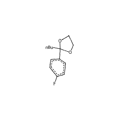 CCCCC1(c2ccc(F)cc2)OCCO1